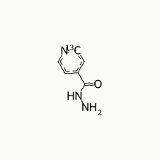 NNC(=O)c1ccn[13cH]c1